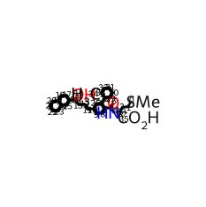 CSCC[C@H](NC(=O)c1ccc(C=CCC(O)c2ccc3ccccc3c2)cc1-c1ccccc1C)C(=O)O